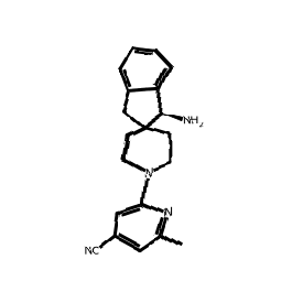 Cc1cc(C#N)cc(N2CCC3(CC2)Cc2ccccc2[C@H]3N)n1